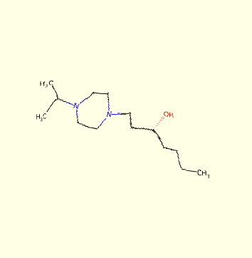 CCCC[C@@H](O)CCN1CCN(C(C)C)CC1